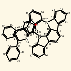 c1ccc(-c2cccc(-n3c4ccccc4c4ccc5c6ccccc6n(-c6cccc7c6oc6nc(-c8ccccc8)ccc67)c5c43)c2)cc1